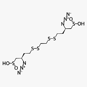 [N-]=[N+]=N[C@H](CCSSCCSSCC[C@H](CS(=O)O)N=[N+]=[N-])CS(=O)O